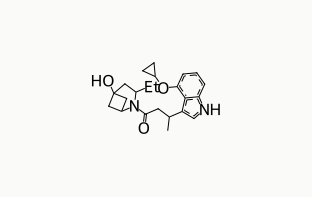 CCC1CC2(O)CC(C2)N1C(=O)CC(C)c1c[nH]c2cccc(OC3CC3)c12